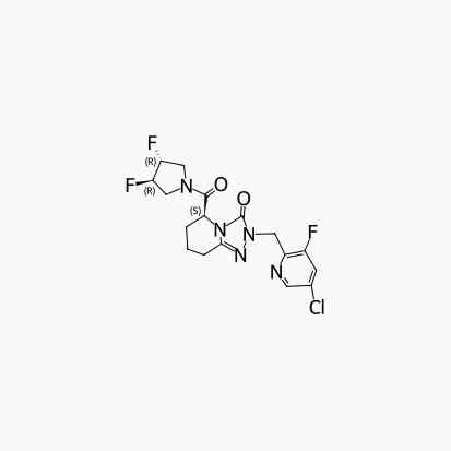 O=C([C@@H]1CCCc2nn(Cc3ncc(Cl)cc3F)c(=O)n21)N1C[C@@H](F)[C@H](F)C1